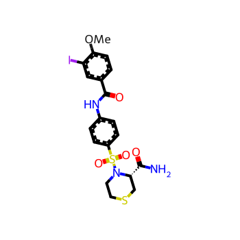 COc1ccc(C(=O)Nc2ccc(S(=O)(=O)N3CCSC[C@H]3C(N)=O)cc2)cc1I